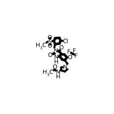 CCS(=O)(=O)c1ccc(Cl)cc1Cn1c(=O)[nH]c2cc(CN3CC[C@@H](NC(C)=O)C3)c(OC(F)(F)F)cc2c1=O